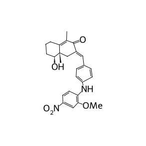 COc1cc([N+](=O)[O-])ccc1Nc1ccc(C=C2C[C@@]3(C)C(=C(C)C2=O)CCC[C@@H]3O)cc1